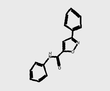 O=C(Nc1ccccc1)c1cc(-c2ccccc2)no1